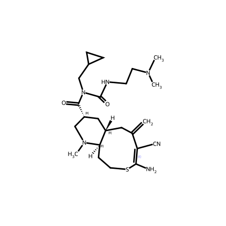 C=C1C[C@H]2C[C@@H](C(=O)N(CC3CC3)C(=O)NCCN(C)C)CN(C)[C@@H]2CCS/C(N)=C\1C#N